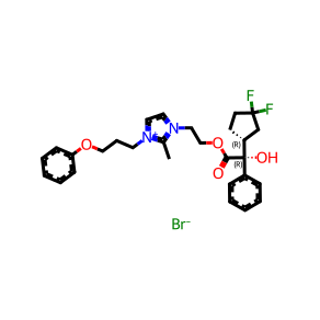 Cc1n(CCOC(=O)[C@](O)(c2ccccc2)[C@@H]2CCC(F)(F)C2)cc[n+]1CCCOc1ccccc1.[Br-]